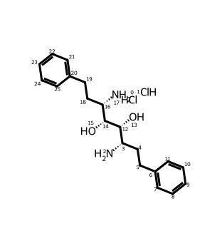 Cl.Cl.N[C@@H](CCc1ccccc1)[C@@H](O)[C@H](O)[C@@H](N)CCc1ccccc1